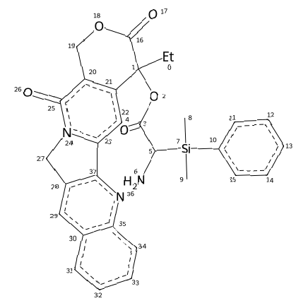 CCC1(OC(=O)C(N)[Si](C)(C)c2ccccc2)C(=O)OCc2c1cc1n(c2=O)Cc2cc3ccccc3nc2-1